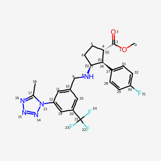 COC(=O)[C@H]1CC[C@H](NCc2cc(-n3nnnc3C)cc(C(F)(F)F)c2)[C@@H]1c1ccc(F)cc1